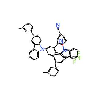 Cc1cccc(-c2ccc3c(c2)c2ccccc2n3-c2ccc(-c3ccc(C(F)(F)F)cc3C#N)c(-c3cc(C#N)ccc3-n3c4ccccc4c4cc(-c5cccc(C)c5)ccc43)c2)c1